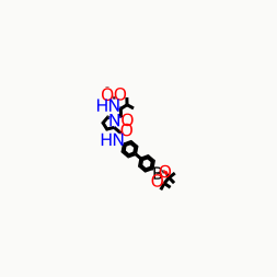 COC(=O)NC(C(=O)N1CCCC1C(=O)Nc1ccc(-c2ccc(B3OC(C)(C)C(C)(C)O3)cc2)cc1)C(C)C